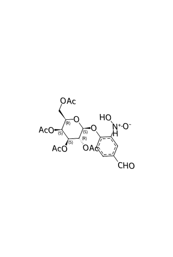 CC(=O)OC[C@H]1O[C@@H](Oc2ccc(C=O)cc2[NH+]([O-])O)[C@H](OC(C)=O)[C@@H](OC(C)=O)[C@H]1OC(C)=O